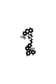 O=[N+]([O-])c1ccc2c(c1)C(N1CCN(CC=Cc3cccc(NC(c4ccccc4)(c4ccccc4)c4ccccc4)c3)CC1)c1ccccc1CC2